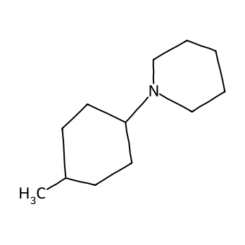 CC1CCC(N2CCCCC2)CC1